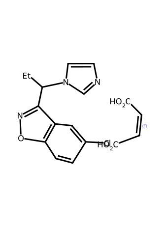 CCC(c1noc2ccc(Cl)cc12)n1ccnc1.O=C(O)/C=C\C(=O)O